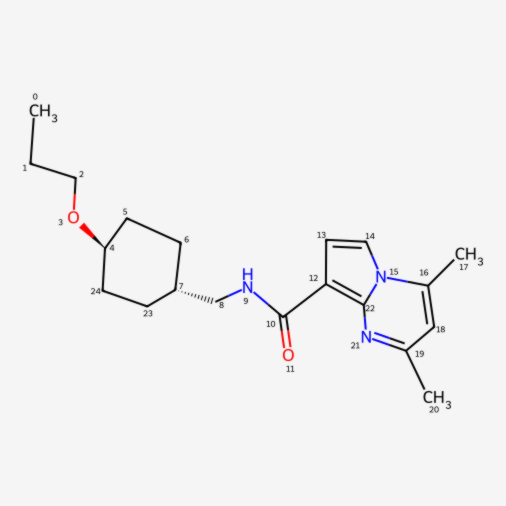 CCCO[C@H]1CC[C@H](CNC(=O)c2ccn3c(C)cc(C)nc23)CC1